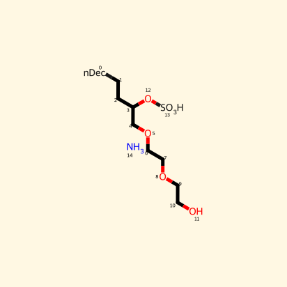 CCCCCCCCCCCCC(COCCOCCO)OS(=O)(=O)O.N